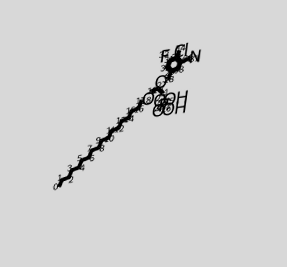 CCCCCCCCCCCCCCCCCCOCC(COP(=O)(O)O)OCc1cc(F)c(Cl)c(C#N)c1